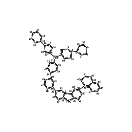 c1ccc(-c2ccc(N(c3ccc(-c4ccccc4)cc3)c3ccc(-c4cccc(-c5ccc6sc7ccc(-c8cccc9ccccc89)cc7c6c5)c4)cc3)cc2)cc1